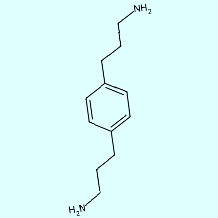 NCCCc1ccc(CCCN)cc1